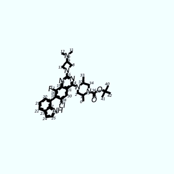 CC1CN(c2nc(N3CC(N(C)C)C3)nc3c(F)c(-c4cccc5cc[nH]c45)c(Cl)cc23)C(C)CN1C(=O)OC(C)(C)C